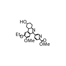 CCOc1cc2c(cc1OC)C(c1ccc(C(=O)OC)nc1)=NC1CCC(O)CC21